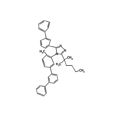 CCCCC(C)(C)c1nnc(-c2cccc(-c3ccccc3)c2)n1-c1cc(-c2cccc(-c3ccccc3)c2)ccc1C